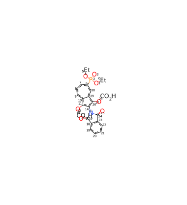 CCOP(=O)(OCC)c1cccc2c(OC(=O)O)c(N3C(=O)c4ccccc4C3=O)c(OC(=O)O)c-2c1